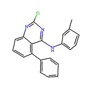 Cc1cccc(Nc2nc(Cl)nc3cccc(-c4ccccc4)c23)c1